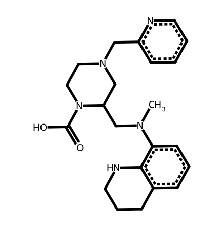 CN(CC1CN(Cc2ccccn2)CCN1C(=O)O)c1cccc2c1NCCC2